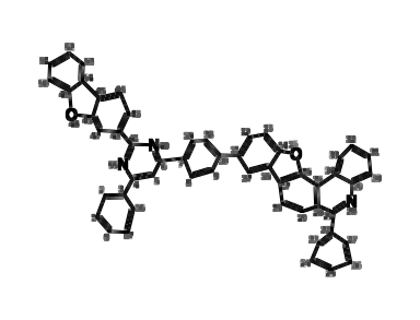 c1ccc(-c2cc(-c3ccc(-c4ccc5oc6c(ccc7c(-c8ccccc8)nc8ccccc8c76)c5c4)cc3)nc(-c3ccc4c(c3)oc3ccccc34)n2)cc1